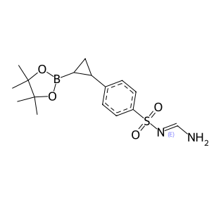 CC1(C)OB(C2CC2c2ccc(S(=O)(=O)/N=C/N)cc2)OC1(C)C